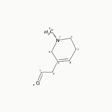 CN1CCC=C(CC=O)C1